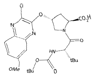 COc1ccc2nc(Cl)c(O[C@@H]3C[C@@H](C(=O)O)N(C(=O)[C@@H](NC(=O)OC(C)(C)C)C(C)(C)C)C3)nc2c1